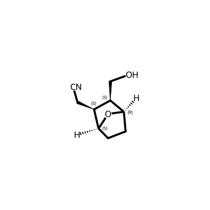 N#CC[C@H]1[C@@H](CO)[C@H]2CC[C@@H]1O2